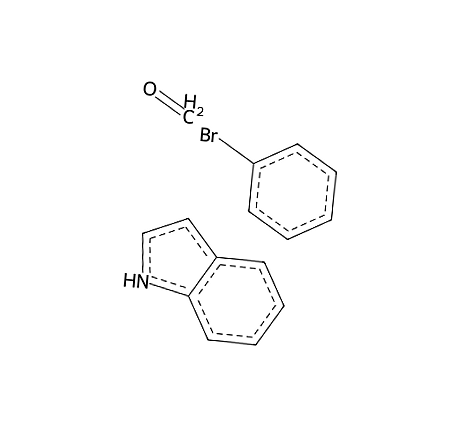 Brc1ccccc1.C=O.c1ccc2[nH]ccc2c1